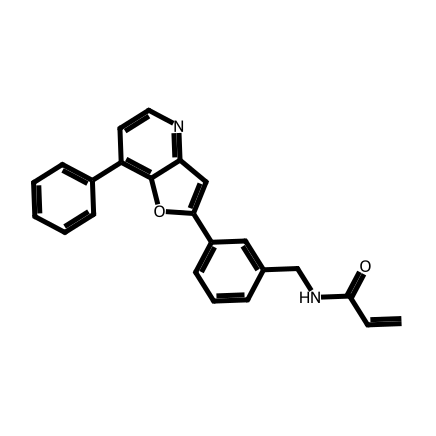 C=CC(=O)NCc1cccc(-c2cc3nccc(-c4ccccc4)c3o2)c1